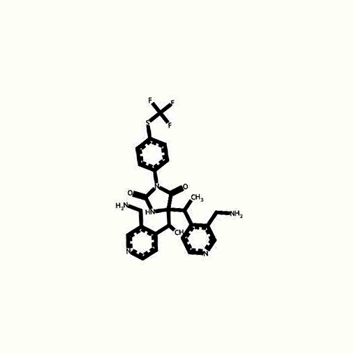 CC(c1ccncc1CN)C1(C(C)c2ccncc2CN)NC(=O)N(c2ccc(SC(F)(F)F)cc2)C1=O